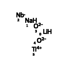 [LiH].[NaH].[Nb].[O-2].[O-2].[Ti+4]